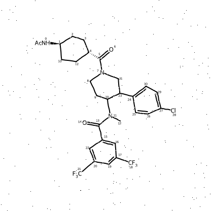 CC(=O)N[C@H]1CC[C@H](C(=O)N2CCC(N(C)C(=O)c3cc(C(F)(F)F)cc(C(F)(F)F)c3)C(c3ccc(Cl)cc3)C2)CC1